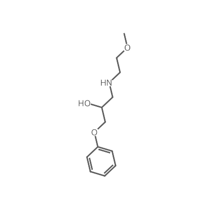 COCCNCC(O)COc1ccccc1